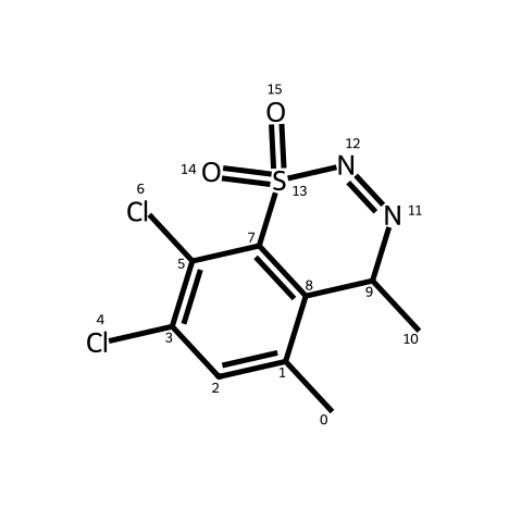 Cc1cc(Cl)c(Cl)c2c1C(C)N=NS2(=O)=O